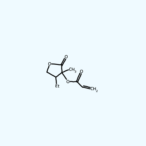 C=CC(=O)OC1(C)C(=O)OCC1CC